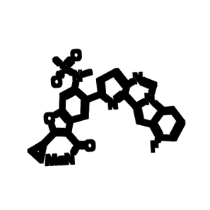 CNC(=O)c1c(C2CC2)oc2cc(N(C)S(C)(=O)=O)c(-c3ccc4ncn5c6cccc(F)c6cc5c4n3)cc12